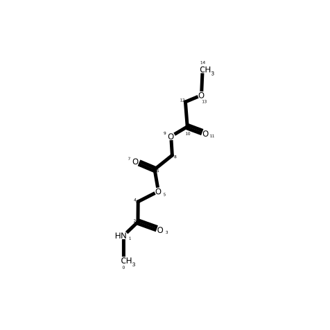 CNC(=O)COC(=O)COC(=O)COC